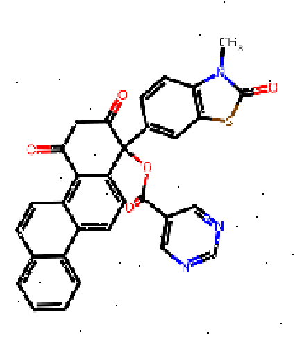 Cn1c(=O)sc2cc(C3(OC(=O)c4cncnc4)C(=O)CC(=O)c4c3ccc3c4ccc4ccccc43)ccc21